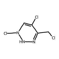 ClCC1=NNN(Cl)C=C1Cl